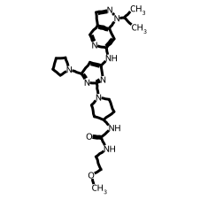 COCCNC(=O)NC1CCN(c2nc(Nc3cc4c(cn3)cnn4C(C)C)cc(N3CCCC3)n2)CC1